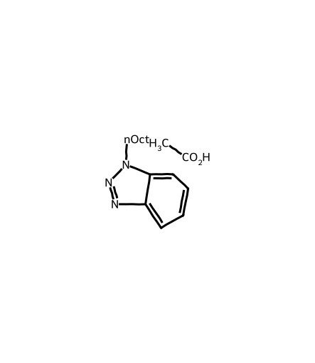 CC(=O)O.CCCCCCCCn1nnc2ccccc21